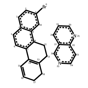 Brc1ccc2ccc3c(c2c1)CCC1=C3C=CCC1.c1cnc2ccncc2c1